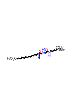 CN[C@@H](CCCCNC(=O)CNCC(=O)NCCCCCCCCCCCCCCC(=O)O)C(=O)O